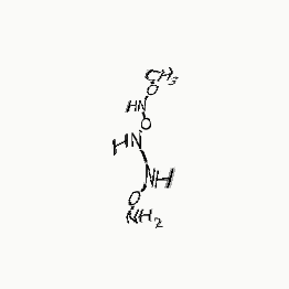 CONONNON